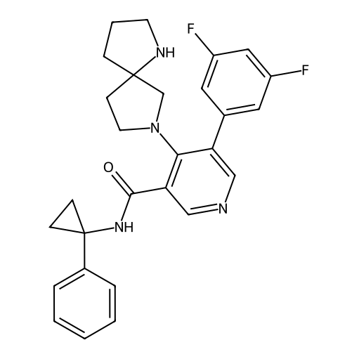 O=C(NC1(c2ccccc2)CC1)c1cncc(-c2cc(F)cc(F)c2)c1N1CCC2(CCCN2)C1